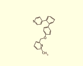 Cc1cccc(COc2ccc(-c3ccccc3-c3ccncc3)cc2)n1